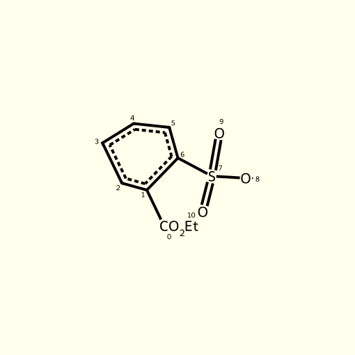 CCOC(=O)c1ccccc1S([O])(=O)=O